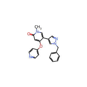 Cn1cc(-c2cnn(Cc3ccccc3)c2)c(Oc2ccncc2)cc1=O